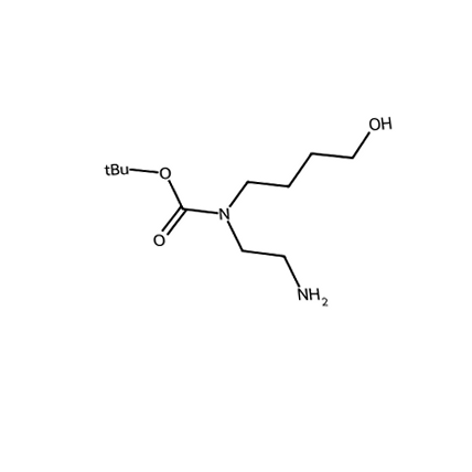 CC(C)(C)OC(=O)N(CCN)CCCCO